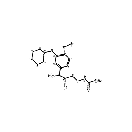 CCOc1ccc(C(C)N(CC)CCNC(=O)OC)cc1CN1CCOCC1